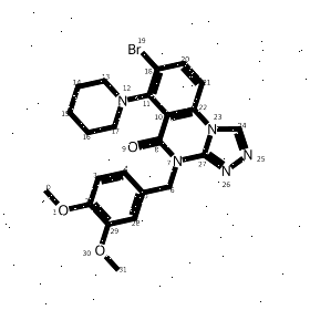 COc1ccc(Cn2c(=O)c3c(N4CCCCC4)c(Br)ccc3n3cnnc23)cc1OC